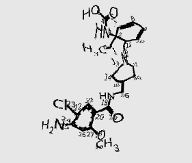 CCC1(NC(=O)O)C=CC=CC1N1CCC(CNC(=O)c2cc(Cl)c(N)cc2OC)CC1